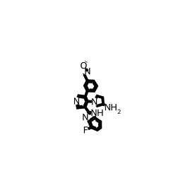 CON=Cc1cccc(-c2cncc(-c3nc4c(F)cccc4[nH]3)c2N2CCC(N)C2)c1